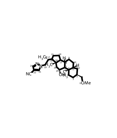 COC[C@H]1CC[C@]2(C)C3[C@@H](CC[C@@H]2C1)C1CCC([C@@H](C)Cn2cc(C#N)cn2)[C@@]1(C)C[C@@H]3O